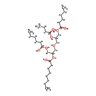 CCCCCCCC(=O)OC(COCC(COC(=O)CCCCC)OC(=O)CCC)COC(=O)CCCCC